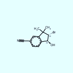 CC1(C)c2cc(C#N)ccc2[C@H](O)[C@H]1Br